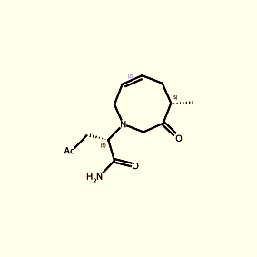 CC(=O)C[C@@H](C(N)=O)N1C/C=C\C[C@H](C)C(=O)C1